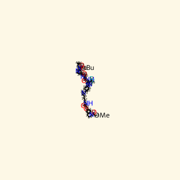 COCC(=O)N1CCCc2cc(OCC(=O)NCCCCCN(C)CC3CCC(n4cc(NC(=O)c5coc(-c6ccnc(N(CC7CC7)C(=O)OC(C)(C)C)c6)n5)c(C(F)F)n4)CC3)ccc21